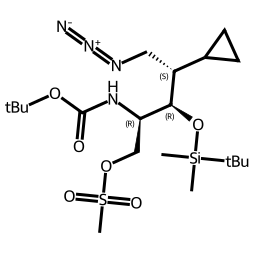 CC(C)(C)OC(=O)N[C@H](COS(C)(=O)=O)[C@H](O[Si](C)(C)C(C)(C)C)[C@H](CN=[N+]=[N-])C1CC1